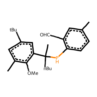 CCCCC(C)(Pc1ccc(C)cc1C=O)c1cc(C(C)(C)C)cc(C)c1OC